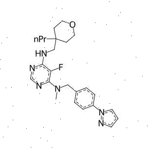 CCCC1(CNc2ncnc(N(C)Cc3ccc(-n4cccn4)cc3)c2F)CCOCC1